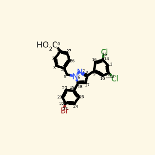 O=C(O)c1ccc(Cn2nc(-c3cc(Cl)cc(Cl)c3)cc2-c2ccc(Br)cc2)cc1